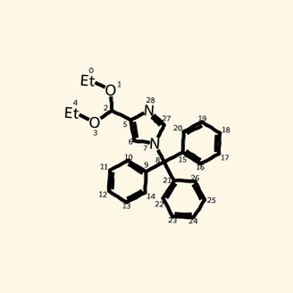 CCOC(OCC)c1cn(C(c2ccccc2)(c2ccccc2)c2ccccc2)cn1